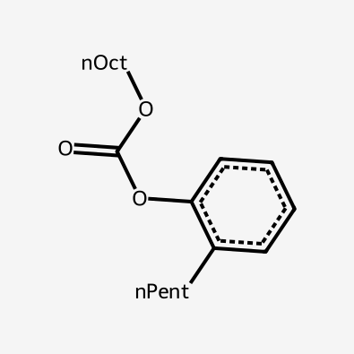 CCCCCCCCOC(=O)Oc1ccccc1CCCCC